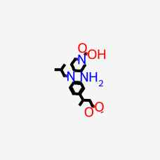 COC(=O)CC(C)c1ccc(N(CC(C)C)C2CCN(C(=O)O)CC2)c(N)c1